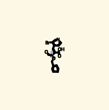 O=CN(OCc1ccccc1)/C(=C/c1ccncc1Br)C(=O)O